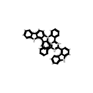 c1ccc(-c2nc(-c3ccccc3-n3c4ccccc4c4c5sc6ccccc6c5ccc43)nc(-c3cccc4oc5ccccc5c34)n2)cc1